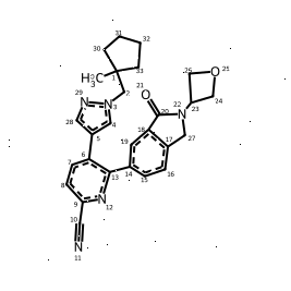 CC1(Cn2cc(-c3ccc(C#N)nc3-c3ccc4c(c3)C(=O)N(C3COC3)C4)cn2)CCCC1